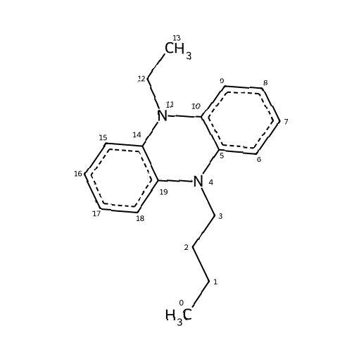 CCCCN1c2ccccc2N(CC)c2ccccc21